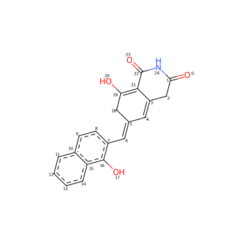 O=C1CC2=CC(=Cc3ccc4ccccc4c3O)CC(O)=C2C(=O)N1